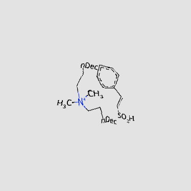 CCCCCCCCCCCC[N+](C)(C)CCCCCCCCCCCC.O=S(=O)(O)C=Cc1ccccc1